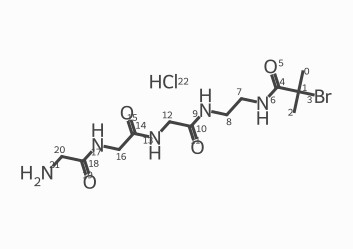 CC(C)(Br)C(=O)NCCNC(=O)CNC(=O)CNC(=O)CN.Cl